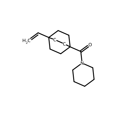 C=CC12CCC(C(=O)N3CCCCC3)(CC1)CC2